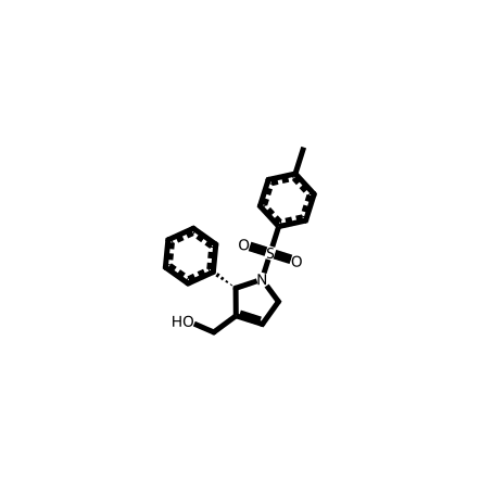 Cc1ccc(S(=O)(=O)N2CC=C(CO)[C@@H]2c2ccccc2)cc1